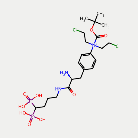 CC(C)(C)OC(=O)[N+](CCCl)(CCCl)c1ccc(C[C@H](N)C(=O)NCCCC(P(=O)(O)O)P(=O)(O)O)cc1